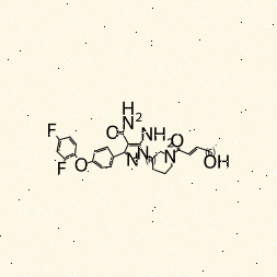 C[C@H](O)C=CC(=O)N1CCC[C@@H](n2nc(-c3ccc(Oc4ccc(F)cc4F)cc3)c(C(N)=O)c2N)C1